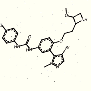 COC1CNC1CCOc1ccc(NC(=O)Nc2ccc(Cl)cc2)cc1-c1c(Br)cnn1C